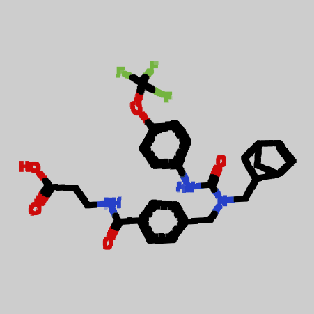 O=C(O)CCNC(=O)c1ccc(CN(CC2CC3C=CC2C3)C(=O)Nc2ccc(OC(F)(F)F)cc2)cc1